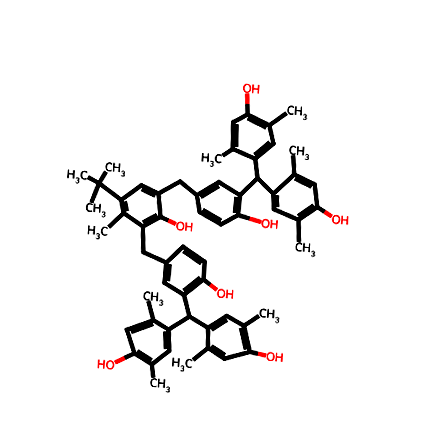 Cc1cc(C(c2cc(C)c(O)cc2C)c2cc(Cc3cc(C(C)(C)C)c(C)c(Cc4ccc(O)c(C(c5cc(C)c(O)cc5C)c5cc(C)c(O)cc5C)c4)c3O)ccc2O)c(C)cc1O